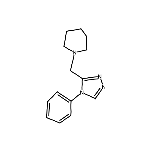 [c]1nnc(CN2CCCCC2)n1-c1ccccc1